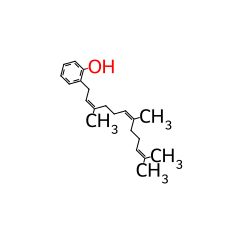 CC(C)=CCCC(C)=CCCC(C)=CCc1ccccc1O